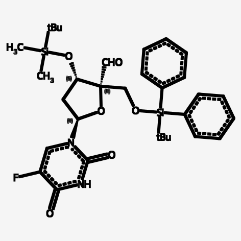 CC(C)(C)[Si](C)(C)O[C@H]1C[C@H](n2cc(F)c(=O)[nH]c2=O)O[C@]1(C=O)CO[Si](c1ccccc1)(c1ccccc1)C(C)(C)C